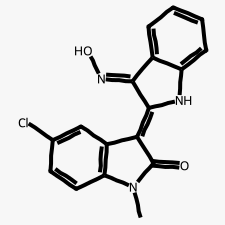 CN1C(=O)/C(=C2\Nc3ccccc3\C2=N/O)c2cc(Cl)ccc21